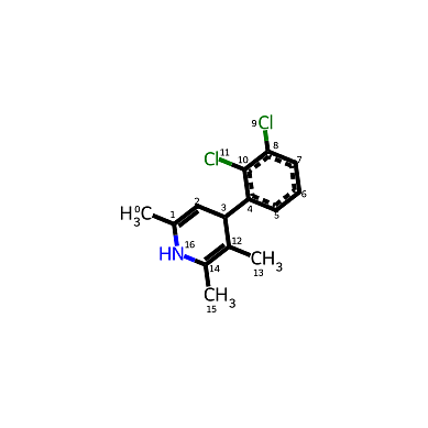 CC1=CC(c2cccc(Cl)c2Cl)C(C)=C(C)N1